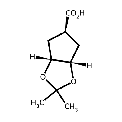 CC1(C)O[C@H]2C[C@H](C(=O)O)C[C@H]2O1